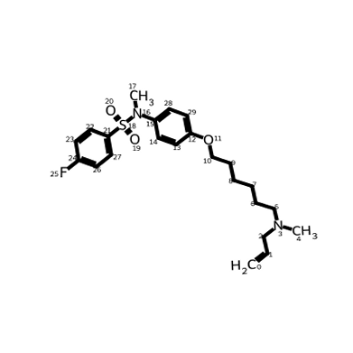 C=CCN(C)CCCCCCOc1ccc(N(C)S(=O)(=O)c2ccc(F)cc2)cc1